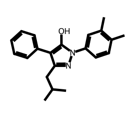 Cc1ccc(-n2nc(CC(C)C)c(-c3ccccc3)c2O)cc1C